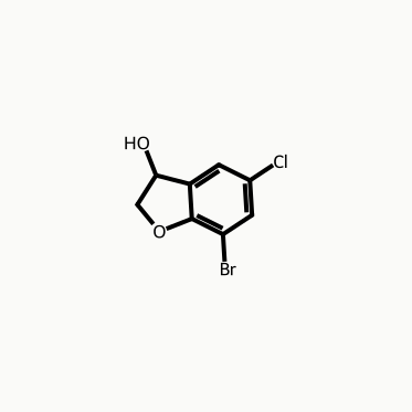 OC1COc2c(Br)cc(Cl)cc21